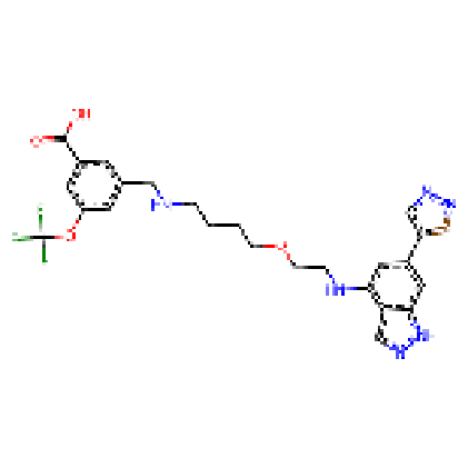 O=C(O)c1cc(CNCCCCOCCNc2cc(-c3cnns3)cc3[nH]ncc23)cc(OC(F)(F)F)c1